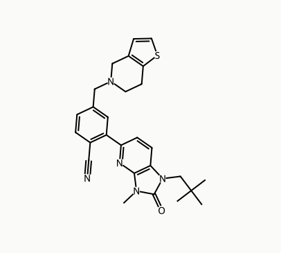 Cn1c(=O)n(CC(C)(C)C)c2ccc(-c3cc(CN4CCc5sccc5C4)ccc3C#N)nc21